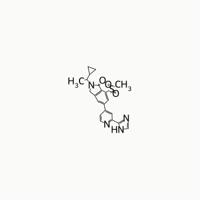 CC(C1CC1)N1Cc2cc(-c3ccnc(-c4ncc[nH]4)c3)cc(S(C)(=O)=O)c2C1=O